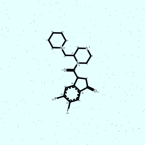 O=C1CC(C(=O)N2CCSCC2CN2CCCCC2)c2cc(F)c(F)cc21